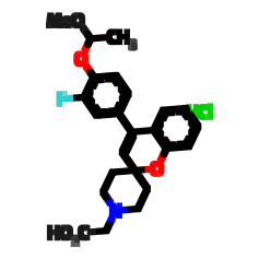 COC(C)Oc1ccc(C2=CC3(CCN(CC(=O)O)CC3)Oc3ccccc32)cc1F.Cl